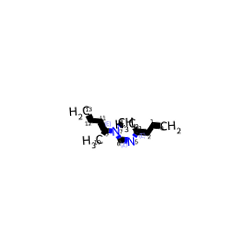 C=C/C=C(C)/N=C\N(C)/C(C)=C/C=C